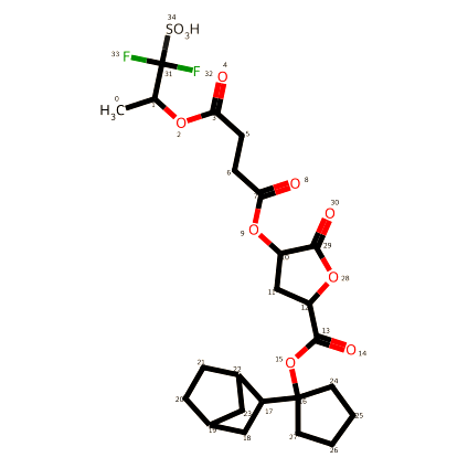 CC(OC(=O)CCC(=O)OC1CC(C(=O)OC2(C3CC4CCC3C4)CCCC2)OC1=O)C(F)(F)S(=O)(=O)O